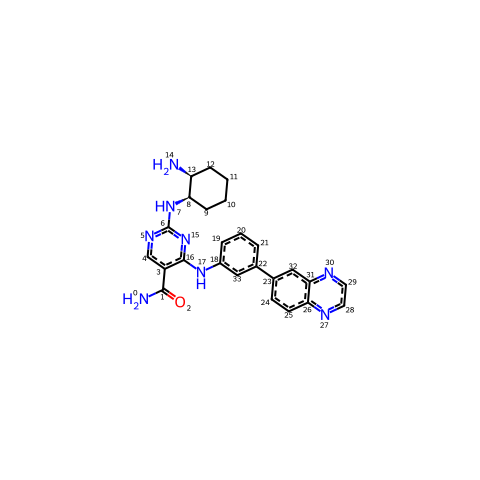 NC(=O)c1cnc(N[C@@H]2CCCC[C@@H]2N)nc1Nc1cccc(-c2ccc3nccnc3c2)c1